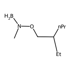 BN(C)OCC(CC)CCC